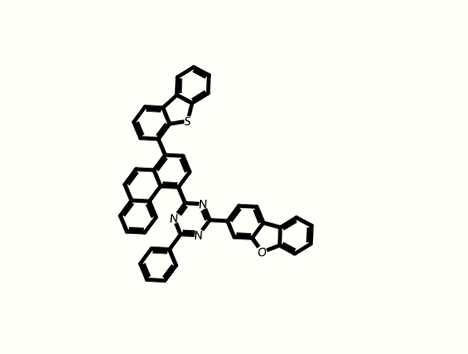 c1ccc(-c2nc(-c3ccc4c(c3)oc3ccccc34)nc(-c3ccc(-c4cccc5c4sc4ccccc45)c4ccc5ccccc5c34)n2)cc1